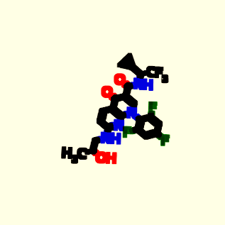 C[C@H](O)CNc1ccc2c(=O)c(C(=O)N[C@@H](C3CC3)C(F)(F)F)cn(-c3c(F)cc(F)cc3F)c2n1